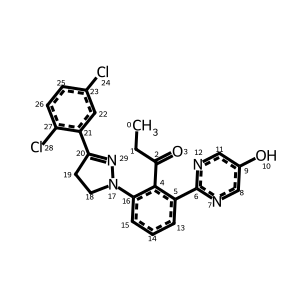 CCC(=O)c1c(-c2ncc(O)cn2)cccc1N1CCC(c2cc(Cl)ccc2Cl)=N1